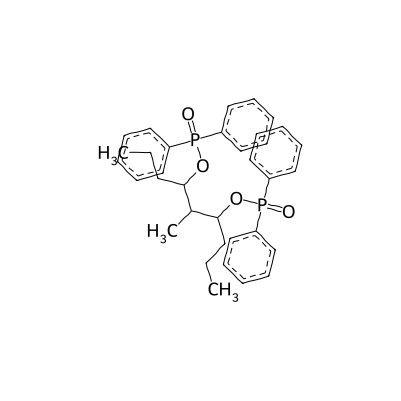 CCCC(OP(=O)(c1ccccc1)c1ccccc1)C(C)C(CCC)OP(=O)(c1ccccc1)c1ccccc1